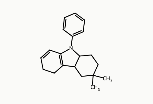 CC1(C)CCC2C(C1)C1=C(C=CCC1)N2c1ccccc1